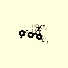 Cc1cccc(Oc2cccc(C(NCC(O)C(F)(F)F)c3ccc(C(F)(F)F)cc3F)c2)c1